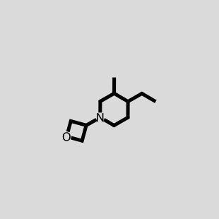 CCC1CCN(C2COC2)CC1C